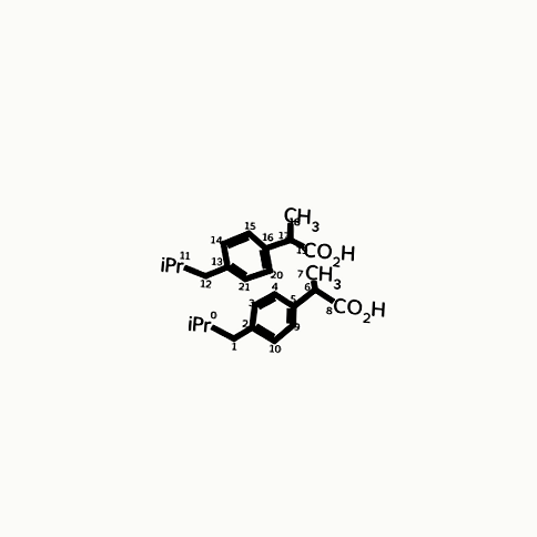 CC(C)Cc1ccc(C(C)C(=O)O)cc1.CC(C)Cc1ccc(C(C)C(=O)O)cc1